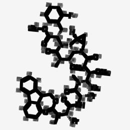 CC[C@H](C)[C@@H]([C@@H](CC(=O)N1C2=C[C@H]2C[C@H]1[C@H](OC)[C@@H](C)C(=O)N[C@@H](Cc1ccccc1F)C(=O)OC(C)(C)C)OC)N(C)C(=O)[C@@H](NC(=O)[C@H](C(C)C)N(C)C(=O)OCC1c2ccccc2-c2ccccc21)C(C)C